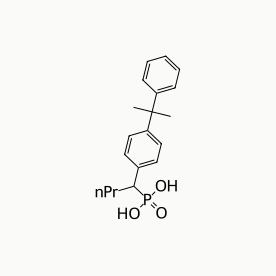 CCCC(c1ccc(C(C)(C)c2ccccc2)cc1)P(=O)(O)O